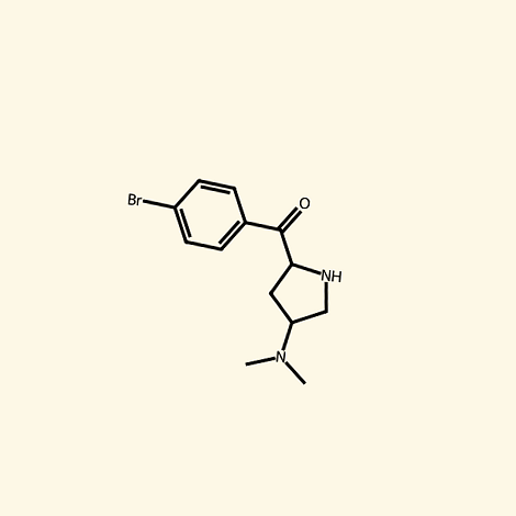 CN(C)C1CNC(C(=O)c2ccc(Br)cc2)C1